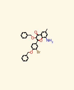 Cc1cc(N)c2oc(-c3ccc(OCc4ccccc4)c(Br)c3)c(OCc3ccccc3)c(=O)c2c1